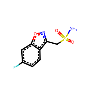 NS(=O)(=O)Cc1noc2cc(F)ccc12